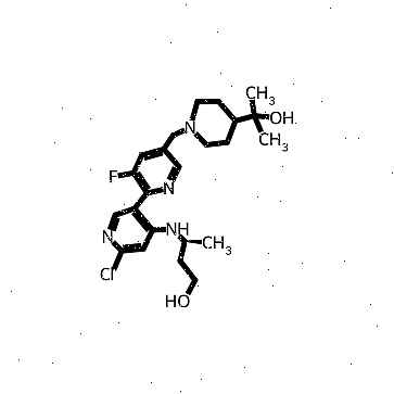 C[C@@H](CCO)Nc1cc(Cl)ncc1-c1ncc(CN2CCC(C(C)(C)O)CC2)cc1F